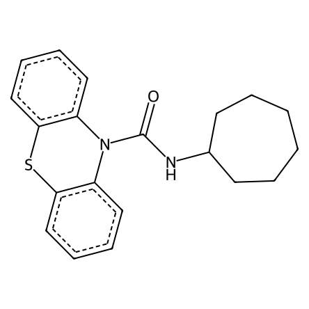 O=C(NC1CCCCCC1)N1c2ccccc2Sc2ccccc21